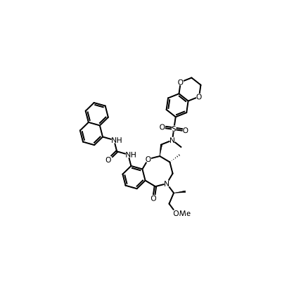 COC[C@H](C)N1C[C@@H](C)[C@H](CN(C)S(=O)(=O)c2ccc3c(c2)OCCO3)Oc2c(NC(=O)Nc3cccc4ccccc34)cccc2C1=O